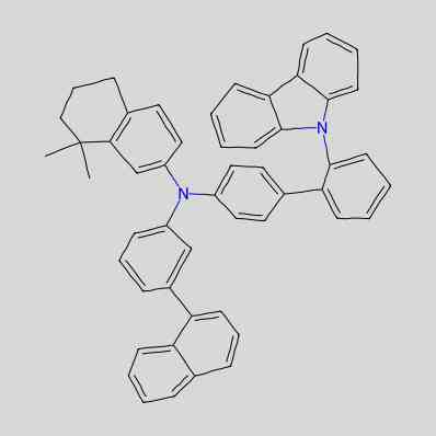 CC1(C)CCCc2ccc(N(c3ccc(-c4ccccc4-n4c5ccccc5c5ccccc54)cc3)c3cccc(-c4cccc5ccccc45)c3)cc21